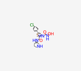 O=C(NO)Nc1cc(-c2ccc(Cl)cc2)sc1C(=O)N[C@H]1CCCNC1